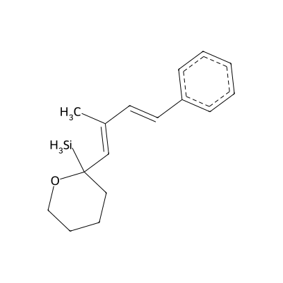 CC(C=Cc1ccccc1)=CC1([SiH3])CCCCO1